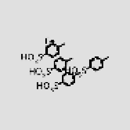 Cc1ccc(S(=O)(=O)O)cc1.Cc1ccc(S(=O)(=O)O)cc1.Cc1ccc(S(=O)(=O)O)cc1.Cc1ccc(S(=O)(=O)O)cc1.[Fe]